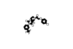 O=C1[C@H]2C3CC(CN3C(=O)COc3ccc(Cl)cc3)N2C(=O)N1c1cccc(C(F)(F)F)c1